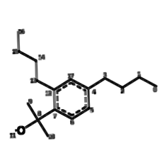 CCCCc1ccc(C(C)(C)[O])c(CCCC)c1